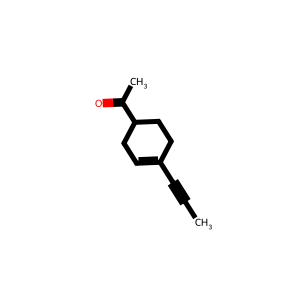 CC#CC1=CCC(C(C)=O)CC1